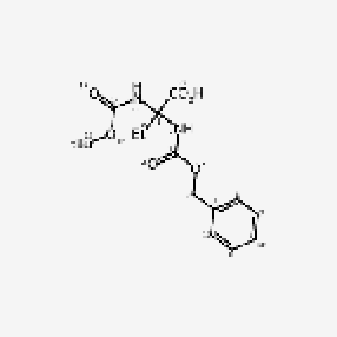 CCC(NC(=O)OCc1ccccc1)(NC(=O)OC(C)(C)C)C(=O)O